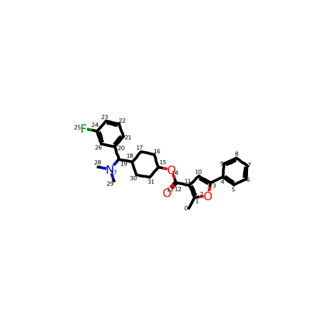 Cc1oc(-c2ccccc2)cc1C(=O)OC1CCC(C(c2cccc(F)c2)N(C)C)CC1